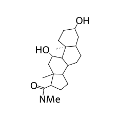 CNC(=O)C1CCC2C3CCC4CC(O)CC[C@]4(C)C3C(O)CC12C